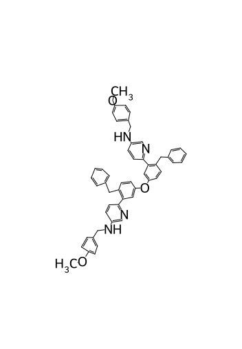 COc1ccc(CNc2ccc(-c3cc(Oc4ccc(Cc5ccccc5)c(-c5ccc(NCc6ccc(OC)cc6)cn5)c4)ccc3Cc3ccccc3)nc2)cc1